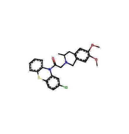 COc1cc2c(cc1OC)CN(CC(=O)N1c3ccccc3Sc3ccc(Cl)cc31)C(C)C2